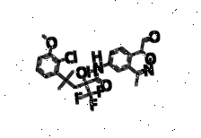 COc1cccc(C(C)(C)CC(O)(C(=O)Nc2ccc3c(c2)C(C)=NOC3C=O)C(F)(F)F)c1Cl